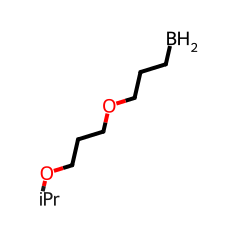 BCCCOCCCOC(C)C